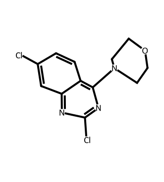 Clc1ccc2c(N3CCOCC3)nc(Cl)nc2c1